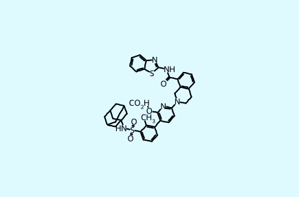 Cc1c(-c2ccc(N3CCc4cccc(C(=O)Nc5nc6ccccc6s5)c4C3)nc2OC(=O)O)cccc1S(=O)(=O)NC12CC3CC(CC(C3)C1)C2